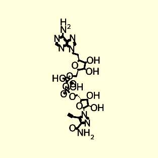 C#Cc1c(C(N)=O)ncn1[C@@H]1O[C@H](COP(=O)(O)OP(=O)(O)OC[C@H]2O[C@@H](CCn3cnc4c(N)ncnc43)C(O)[C@H]2O)C(O)[C@@H]1O